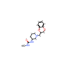 CC(C)(C)NC(=O)NC1CCCN(CC2COc3ccccc3O2)C1